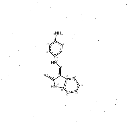 Nc1ccc(NC=C2C(=O)Nc3ccccc32)cc1